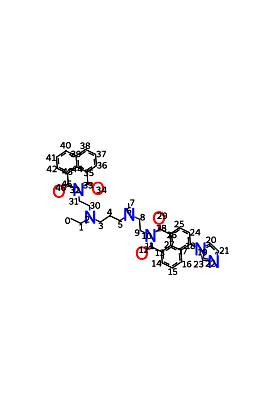 CCN(CCCN(C)CCN1C(=O)c2cccc3c(-n4ccnc4)ccc(c23)C1=O)CCN1C(=O)c2cccc3cccc(c23)C1=O